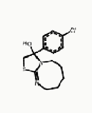 OC1(c2ccc(Cl)cc2)CSC2=NCCCCCN21